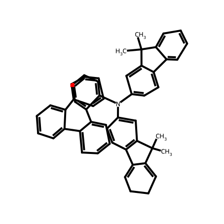 CC1(C)C2=CCCC=C2c2ccc(N(c3ccc4c(c3)C(C)(C)c3ccccc3-4)c3ccccc3-c3ccccc3-c3ccccc3-c3ccccc3)cc21